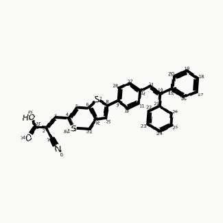 N#C/C(=C\C1=Cc2sc(-c3ccc(/C=C(/c4ccccc4)C4C=CC=CC4)cc3)cc2CS1)C(=O)O